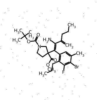 C=C(CCC)/C(N)=C(\c1cc(C)c(Br)c(F)c1CCC)C1(C(=O)OC)CCN(C(=O)OC(C)(C)C)C1